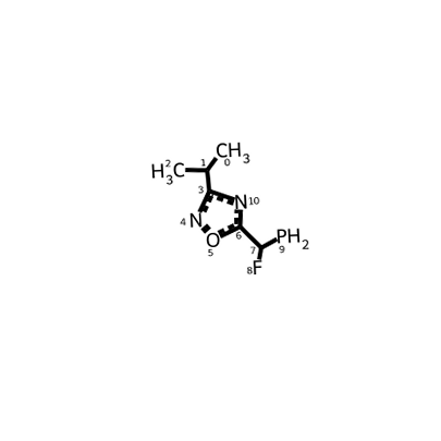 CC(C)c1noc(C(F)P)n1